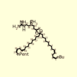 CCCC/C=C\C/C=C\CCCCCCCCC1(CCCCCCCC/C=C\C/C=C\CCCCC)OCC(CCN(C)CCNC(=N)N)O1